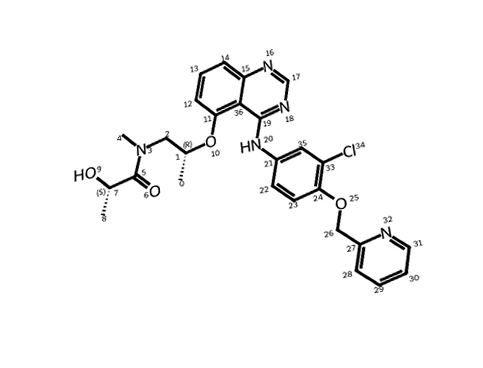 C[C@H](CN(C)C(=O)[C@H](C)O)Oc1cccc2ncnc(Nc3ccc(OCc4ccccn4)c(Cl)c3)c12